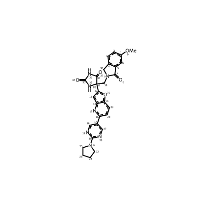 COc1ccc2c(c1)C(=O)N(C[C@@]1(c3cc4nc(-c5cnc(N6CCCC6)nc5)ccc4o3)NC(=O)NC1=O)C2